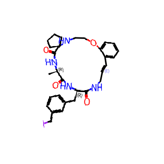 C[C@H]1NC(=O)C2(CCCC2)NCCOc2ccccc2/C=C/CNC(=O)[C@@H](Cc2cccc(CI)c2)NC1=O